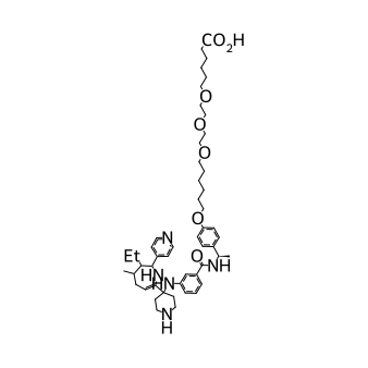 CCC1C(C)CC=C(C2(Nc3cccc(C(=O)N[C@H](C)c4ccc(OCCCCCCOCCOCCOCCCCCC(=O)O)cc4)c3)CCNCC2)NC1c1ccncc1